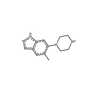 Cc1cc2cn[nH]c2cc1N1CCNCC1